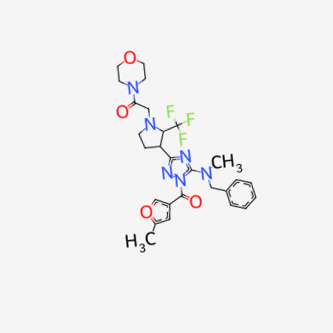 Cc1cc(C(=O)n2nc(C3CCN(CC(=O)N4CCOCC4)C3C(F)(F)F)nc2N(C)Cc2ccccc2)co1